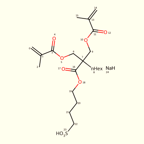 C=C(C)C(=O)OCC(CCCCCC)(COC(=O)C(=C)C)C(=O)OCCCCS(=O)(=O)O.[NaH]